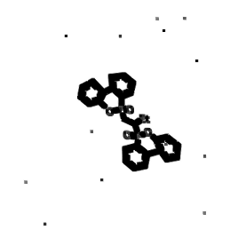 CCC(CP1(=O)Oc2ccccc2-c2ccccc21)P1(=O)Oc2ccccc2-c2ccccc21